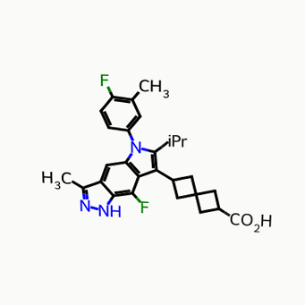 Cc1cc(-n2c(C(C)C)c(C3CC4(CC(C(=O)O)C4)C3)c3c(F)c4[nH]nc(C)c4cc32)ccc1F